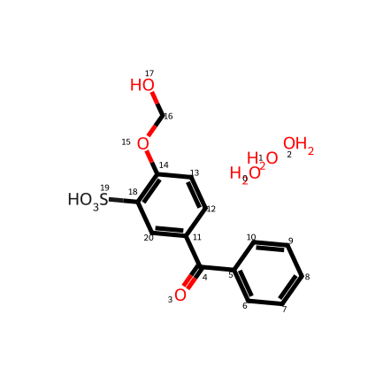 O.O.O.O=C(c1ccccc1)c1ccc(OCO)c(S(=O)(=O)O)c1